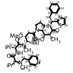 CC[C@H](C)[C@@H]([C@@H](CC(=O)N1CCC[C@H]1[C@H](OC)[C@@H](C)C(=O)N[C@@H](Cc1ccccc1)c1nccs1)OC)N(C)C(=O)[C@@H](NC(=O)[C@H](C(C)C)N(C)Cc1ccncc1)C(C)C